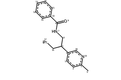 Cc1ccc(C(CNC(=O)c2ccccc2)CC(C)C)cn1